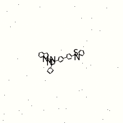 c1ccc(-c2cc(-c3ccc(-c4ccc(-c5nc6ccccc6s5)cc4)cc3)nc(-c3ccc4ccccc4n3)n2)cc1